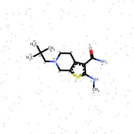 CNc1sc2c(c1C(N)=O)CCN(CC(C)(C)C)C2